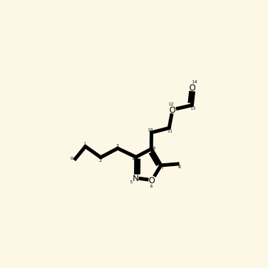 CCCCc1noc(C)c1CCOC=O